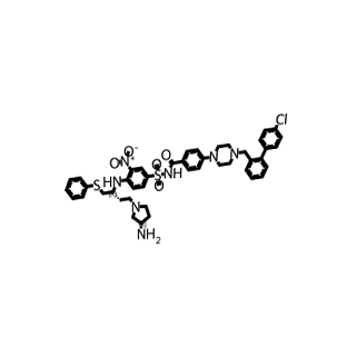 N[C@@H]1CCN(CC[C@H](CSc2ccccc2)Nc2ccc(S(=O)(=O)NC(=O)c3ccc(N4CCN(Cc5ccccc5-c5ccc(Cl)cc5)CC4)cc3)cc2[N+](=O)[O-])C1